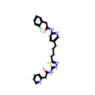 O=C(Cc1ccccc1Cl)Nc1ccc(CCCCc2nnc(NC(=O)Cc3ccccn3)s2)cn1